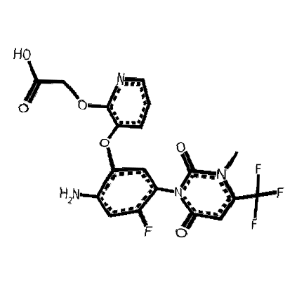 Cn1c(C(F)(F)F)cc(=O)n(-c2cc(Oc3cccnc3OCC(=O)O)c(N)cc2F)c1=O